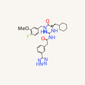 COc1cc(CNC(=O)[C@@H](CC2CCCCC2)NC(=N)NC(=O)Cc2cccc(-c3nn[nH]n3)c2)ccc1F